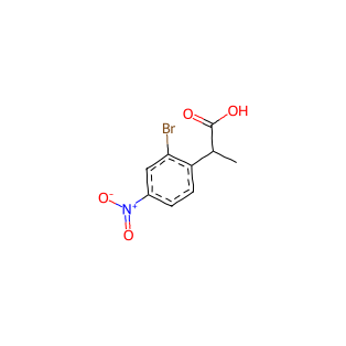 CC(C(=O)O)c1ccc([N+](=O)[O-])cc1Br